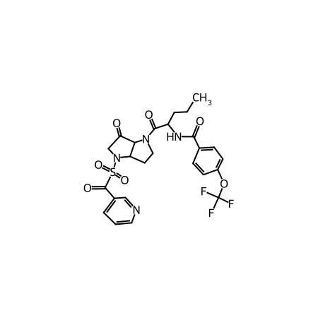 CCCC(NC(=O)c1ccc(OC(F)(F)F)cc1)C(=O)N1CCC2C1C(=O)CN2S(=O)(=O)C(=O)c1cccnc1